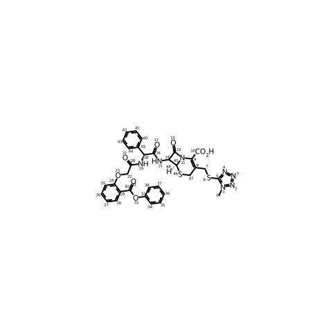 Cn1nnnc1SCC1=C(C(=O)O)N2C(=O)C(NC(=O)[C@@H](NC(=O)COc3ccccc3C(=O)Oc3ccccc3)c3ccccc3)[C@@H]2SC1